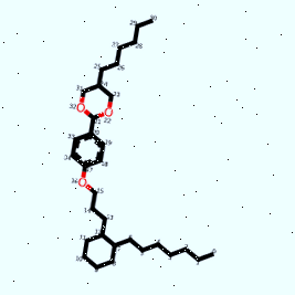 CCCCCCCC1CCCCC1CCCOc1ccc(C2OCC(CCCCCC)CO2)cc1